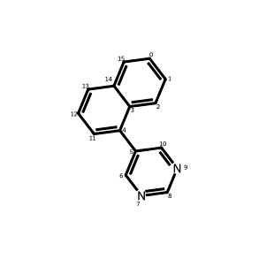 c1ccc2c(-c3cncnc3)cccc2c1